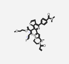 C=CC(=O)N1CCn2nc(-c3nc(-c4ccc(C(=O)N(C)C)cc4)c4ccsc4c3/C(C(=C)OCCOC)=C(F)/C=C/F)cc2[C@H]1C